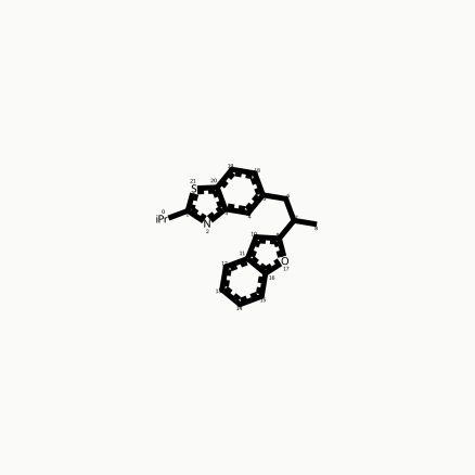 CC(C)c1nc2cc(CC(C)c3cc4ccccc4o3)ccc2s1